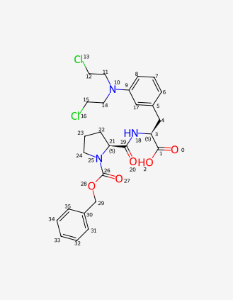 O=C(O)[C@H](Cc1cccc(N(CCCl)CCCl)c1)NC(=O)[C@@H]1CCCN1C(=O)OCc1ccccc1